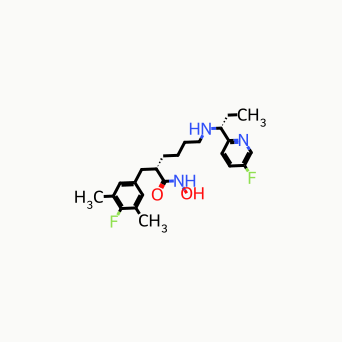 CC[C@@H](NCCCC[C@@H](Cc1cc(C)c(F)c(C)c1)C(=O)NO)c1ccc(F)cn1